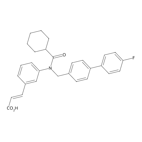 O=C(O)C=Cc1cccc(N(Cc2ccc(-c3ccc(F)cc3)cc2)C(=O)C2CCCCC2)c1